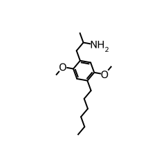 CCCCCCc1cc(OC)c(CC(C)N)cc1OC